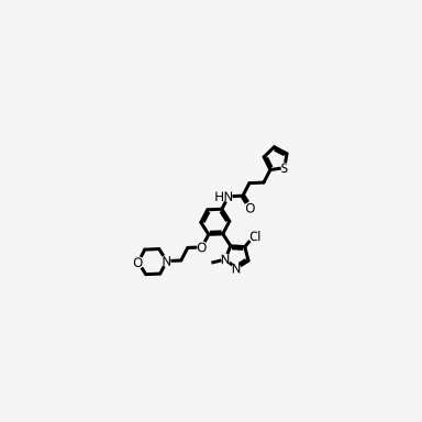 Cn1ncc(Cl)c1-c1cc(NC(=O)CCc2cccs2)ccc1OCCN1CCOCC1